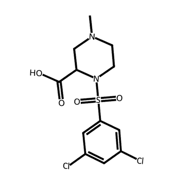 CN1CCN(S(=O)(=O)c2cc(Cl)cc(Cl)c2)C(C(=O)O)C1